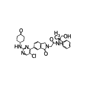 C[C@](CO)(NC(=O)CN1Cc2ccc(-c3nc(NC4CCC(=O)CC4)ncc3Cl)cc2C1=O)c1ccccc1